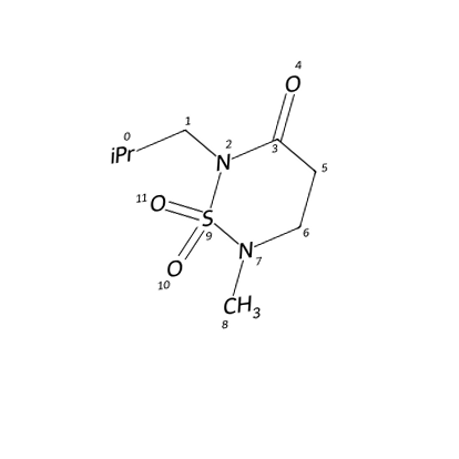 CC(C)CN1C(=O)CCN(C)S1(=O)=O